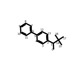 CC(c1ccc(-c2ccccc2)cc1)C(C)(C)C